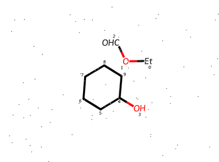 CCOC=O.OC1CCCCC1